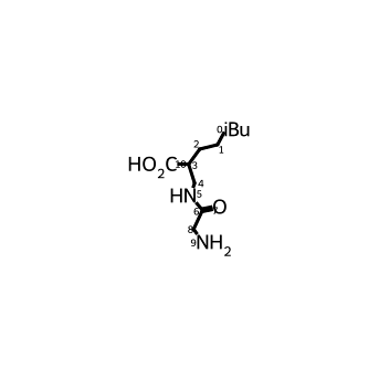 CCC(C)CCC(CNC(=O)CN)C(=O)O